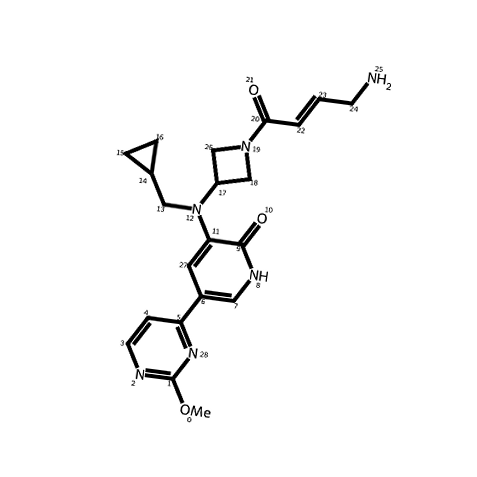 COc1nccc(-c2c[nH]c(=O)c(N(CC3CC3)C3CN(C(=O)/C=C/CN)C3)c2)n1